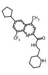 Cc1cc(C(=O)NCC2CCCCN2)nc2c(C(F)(F)F)cc(C3CCCC3)cc12